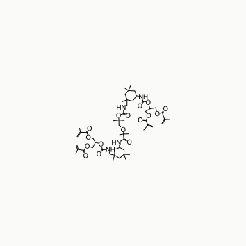 C=C(C)C(=O)OCC(COC(=O)C(=C)C)OC(=O)NCC1(C)CC(NC(=O)C(C)(C)OCC(C)(C)OC(=O)NCC2(C)CC(NC(=O)OC(COC(=O)C(=C)C)COC(=O)C(=C)C)CC(C)(C)C2)CC(C)(C)C1